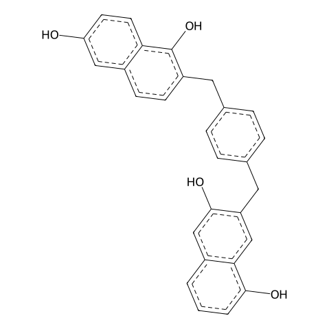 Oc1ccc2c(O)c(Cc3ccc(Cc4cc5c(O)cccc5cc4O)cc3)ccc2c1